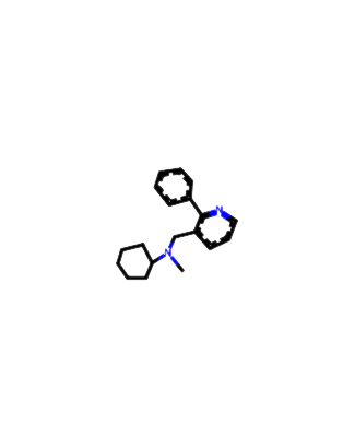 CN(Cc1cccnc1-c1ccccc1)C1CCCCC1